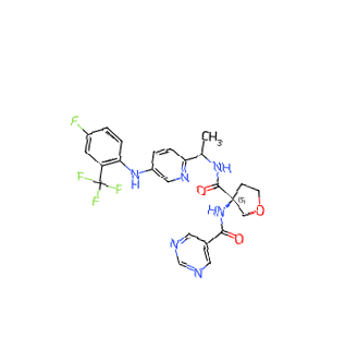 CC(NC(=O)[C@]1(NC(=O)c2cncnc2)CCOC1)c1ccc(Nc2ccc(F)cc2C(F)(F)F)cn1